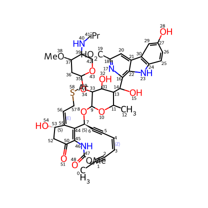 CC#C/C=C\C#C[C@H](OC1OC(C)C(C(O)c2nc(C(=O)O)cc3c2[nH]c2ccc(O)cc23)C(O)C1OC1CC(OC)C(NC(C)C)CO1)C1=C(NC(=O)OC)C(=O)C[C@H](O)/C1=C/CSC(C)=O